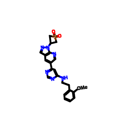 COc1ccccc1CCNc1cc(-c2cnc3c(cnn3C3CS(=O)(=O)C3)c2)ncn1